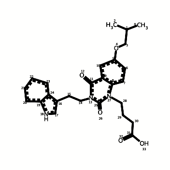 CC(C)COc1ccc2c(c1)c(=O)n(CCc1c[nH]c3ccccc13)c(=O)n2CCCC(=O)O